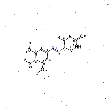 COc1cc(/C=C/C2NNC(=O)CC2C)cc(OC)c1SC